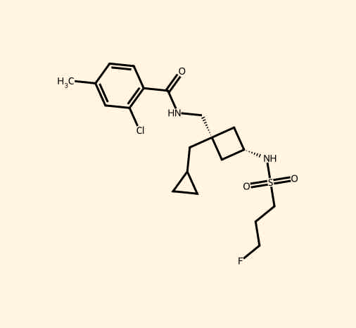 Cc1ccc(C(=O)NC[C@]2(CC3CC3)C[C@H](NS(=O)(=O)CCCF)C2)c(Cl)c1